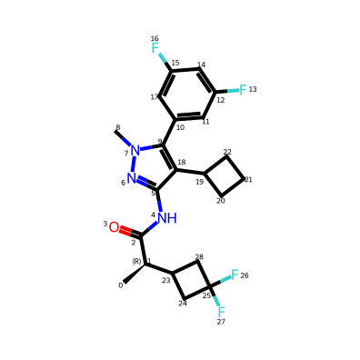 C[C@@H](C(=O)Nc1nn(C)c(-c2cc(F)cc(F)c2)c1C1CCC1)C1CC(F)(F)C1